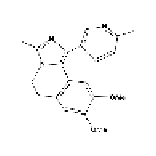 COc1cc2c(cc1OC)-c1c(-c3ccc(C)nc3)nc(C)n1CC2